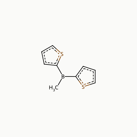 CB(c1cccs1)c1cccs1